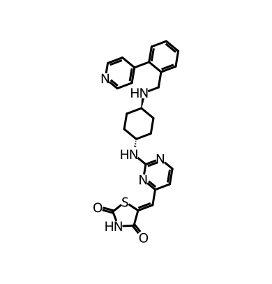 O=C1NC(=O)C(=Cc2ccnc(N[C@H]3CC[C@H](NCc4ccccc4-c4ccncc4)CC3)n2)S1